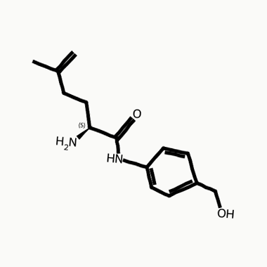 C=C(C)CC[C@H](N)C(=O)Nc1ccc(CO)cc1